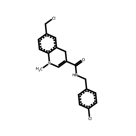 CN1C=C(C(=O)NCc2ccc(Cl)cc2)Cc2cc(CCl)ccc21